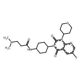 CN(C)CCC(=O)NC1CCC(n2c(=O)c3cc(F)cnc3n(C3CCSCC3)c2=O)CC1